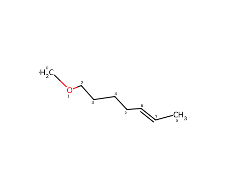 [CH2]OCCCC/C=C/C